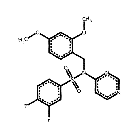 COc1ccc(CN(c2ccncn2)S(=O)(=O)c2ccc(F)c(F)c2)c(OC)c1